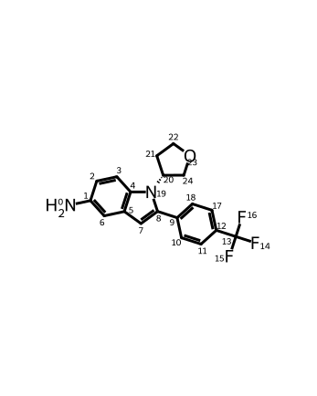 Nc1ccc2c(c1)cc(-c1ccc(C(F)(F)F)cc1)n2[C@@H]1CCOC1